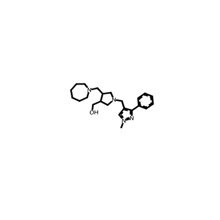 Cn1cc(CN2CC(CO)C(CN3CCCCCC3)C2)c(-c2ccccc2)n1